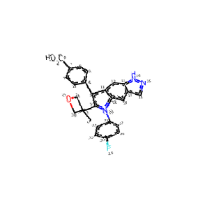 CC1(c2c(-c3ccc(C(=O)O)cc3)c3cc4[nH]ncc4cc3n2-c2ccc(F)cc2)COC1